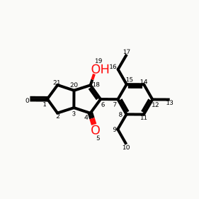 C=C1CC2C(=O)C(c3c(CC)cc(C)cc3CC)=C(O)C2C1